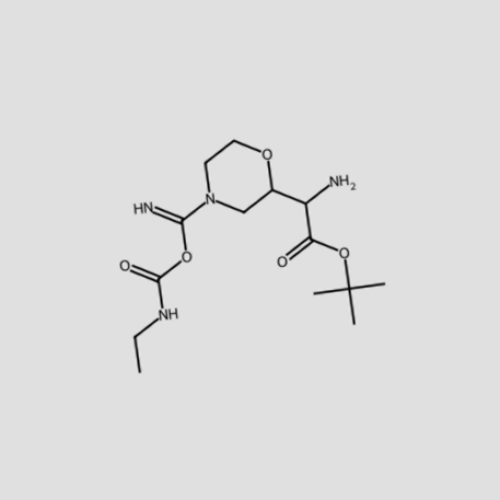 CCNC(=O)OC(=N)N1CCOC(C(N)C(=O)OC(C)(C)C)C1